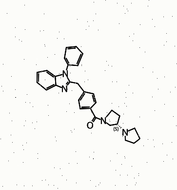 O=C(c1ccc(Cc2nc3ccccc3n2-c2ccccc2)cc1)N1CC[C@H](N2CCCC2)C1